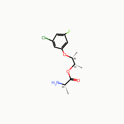 C[C@H](N)C(=O)O[C@@H](C)[C@@H](C)Oc1cc(F)cc(Cl)c1